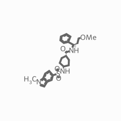 COCC[C@@H](NC(=O)[C@H]1CC[C@H](NS(=O)(=O)c2ccc3c(ccn3C)c2)CC1)c1ccccc1